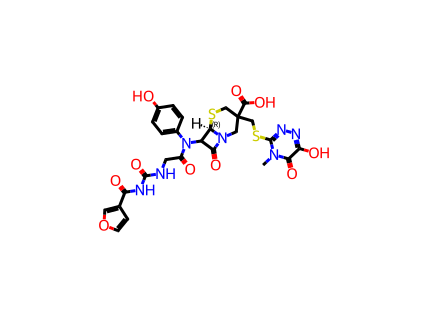 Cn1c(SCC2(C(=O)O)CS[C@@H]3C(N(C(=O)CNC(=O)NC(=O)c4ccoc4)c4ccc(O)cc4)C(=O)N3C2)nnc(O)c1=O